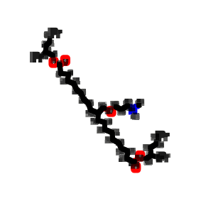 CC(C)CCC(COC(=O)CCCCCCCCCC(CCCCCCCCCC(=O)OCC(CCC(C)C)C(C)C)COCCCN(C)C)C(C)C